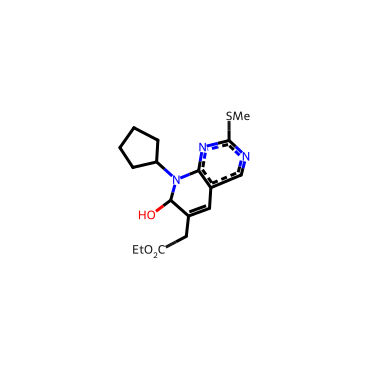 CCOC(=O)CC1=Cc2cnc(SC)nc2N(C2CCCC2)C1O